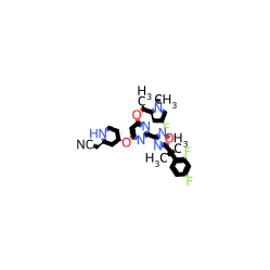 C[C@H](Oc1cc(O[C@H]2CCN[C@H](CC#N)C2)nc(-c2noc(C(C)(C)c3ccc(F)cc3F)n2)n1)[C@@H]1C[C@@H](F)CN1C